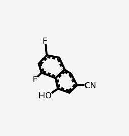 N#Cc1cc(O)c2c(F)cc(F)cc2c1